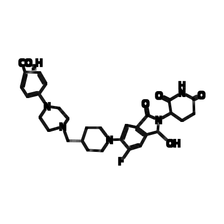 O=C1CCC(N2C(=O)c3cc(N4CCC(CN5CCN(c6ccc(C(=O)O)cc6)CC5)CC4)c(F)cc3C2O)C(=O)N1